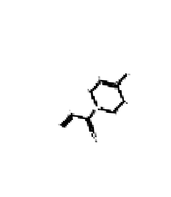 C=CC(=O)N1CC=C(C)CC1